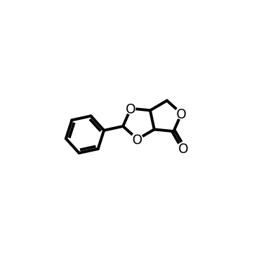 O=C1OCC2OC(c3ccccc3)OC12